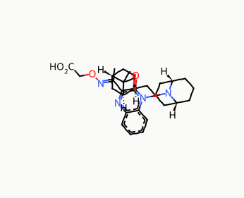 CC(=NOCC(=O)O)c1nc2ccccc2n(C2C[C@H]3CCC[C@@H](C2)N3CC[C@@H]2CC[C@H]3C[C@H]2C3(C)C)c1=O